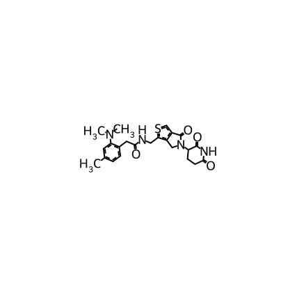 Cc1ccc(CC(=O)NCc2scc3c2CN(C2CCC(=O)NC2=O)C3=O)c(N(C)C)c1